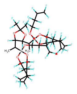 CC(C1(F)OC(C(F)(F)F)(C(F)(F)F)OC1(F)C(C)[Si](OC(F)(F)C(F)(F)C(F)C(F)F)(OC(F)(F)C(F)(F)C(F)C(F)F)OC(F)(F)C(F)(F)C(F)C(F)F)[Si](OC(F)(F)C(F)(F)C(F)C(F)F)(OC(F)(F)C(F)(F)C(F)C(F)F)OC(F)(F)C(F)(F)C(F)C(F)F